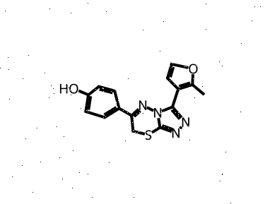 Cc1occc1-c1nnc2n1N=C(c1ccc(O)cc1)CS2